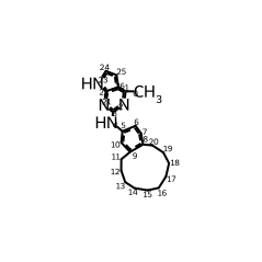 Cc1nc(Nc2ccc3c(c2)CCCCCCCCCC3)nc2[nH]ccc12